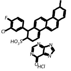 CC1C=Cc2ccc3c4c(ccc3c2=C1)C(c1ccc(F)c(Cl)c1)C(S(=O)(=O)O)CC=4.Cl.O=C1N=CN=C2N=CN=C12